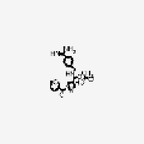 CC(=O)O.N=C(N)c1ccc(CNC(=O)c2cnn(C(=O)c3ccccc3)c2)cc1